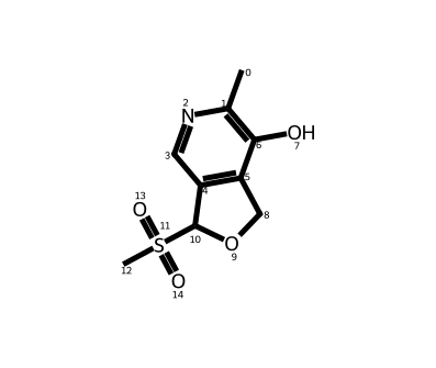 Cc1ncc2c(c1O)COC2S(C)(=O)=O